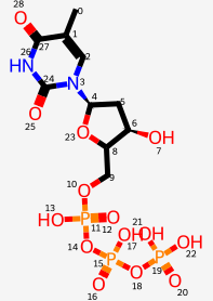 Cc1cn([C@H]2C[C@@H](O)C(COP(=O)(O)OP(=O)(O)OP(=O)(O)O)O2)c(=O)[nH]c1=O